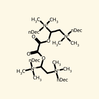 CCCCCCCCCC[N+](C)(C)CC(OC(=O)C(=O)OC(C[N+](C)(C)CCCCCCCCCC)[N+](C)(C)CCCCCCCCCC)[N+](C)(C)CCCCCCCCCC